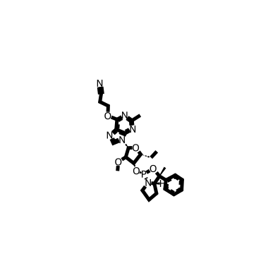 CC[C@H]1O[C@@H](n2cnc3c(OCCC#N)nc(C)nc32)C(OC)[C@H]1O[P@@]1O[C@](C)(c2ccccc2)[C@@H]2CCCN21